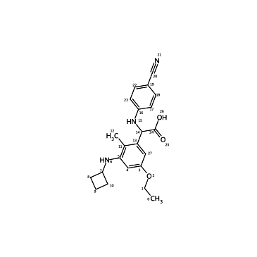 CCOc1cc(NC2CCC2)c(C)c(C(Nc2ccc(C#N)cc2)C(=O)O)c1